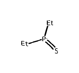 CC[P](=S)CC